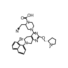 CN1CCC[C@H]1COc1nc2c(c(N3CCN(C(=O)O)C(CC#N)C3)n1)CCN(c1cccc3cccc(Br)c13)C2